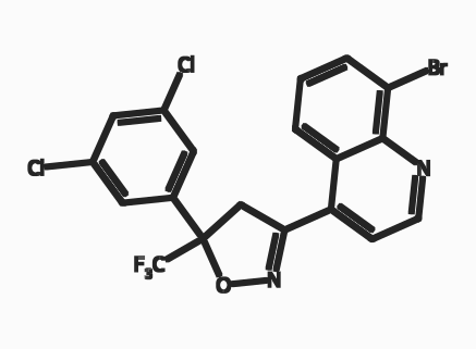 FC(F)(F)C1(c2cc(Cl)cc(Cl)c2)CC(c2ccnc3c(Br)cccc23)=NO1